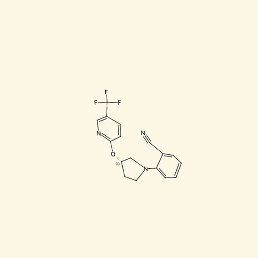 N#Cc1ccccc1N1CC[C@H](Oc2ccc(C(F)(F)F)cn2)C1